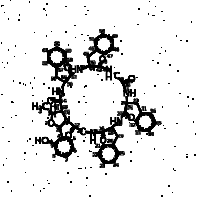 C[C@H]1OC(c2ccccc2O)N2C(=O)CNC(=O)[C@H](Cc3ccccc3)NC(=O)[C@H](Cc3ccccc3)NC(=O)CNC(=O)[C@H](Cc3ccccc3)NC(=O)[C@H](Cc3ccccc3)NC(=O)[C@H]12